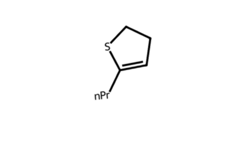 CCCC1=CCCS1